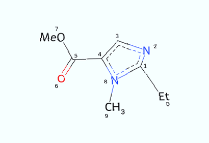 CCc1ncc(C(=O)OC)n1C